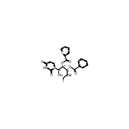 O=C(O[C@H]([C@H](OC(=O)c1ccccc1)[C@@H](F)CI)[C@@H](O)n1ccc(=O)[nH]c1=O)c1ccccc1